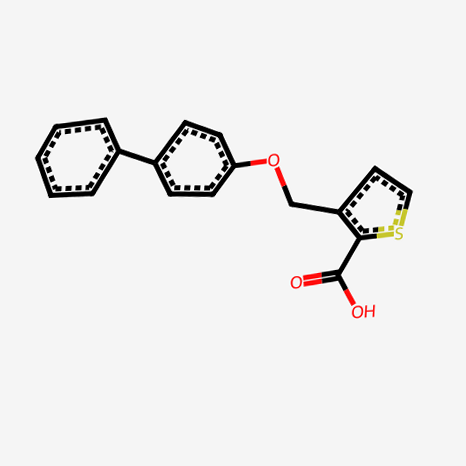 O=C(O)c1sccc1COc1ccc(-c2ccccc2)cc1